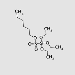 CCCCCCOS(=O)(=O)[Si](OCC)(OCC)OCC